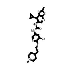 Cc1nc2c(C3CC3)c(NC(=O)Nc3cnc(OCCC4CCN(C)CC4)c(Cl)c3)cnc2s1